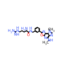 CNc1nc2oc(-c3cccc(CNC(=O)[C@@H](N)CCCNC(=N)N)c3)nc2c2c1ncn2C